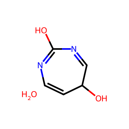 O.OC1=NC=CC(O)C=N1